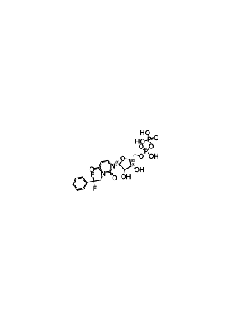 O=c1ccn([C@@H]2O[C@H](COP(=O)(O)OP(=O)(O)O)[C@H](O)C2O)c(=O)n1CC(F)(F)c1ccccc1